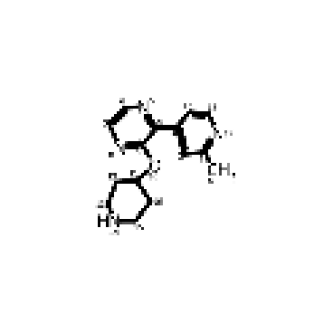 Cc1cc(-c2nccnc2OC2CCNCC2)ccn1